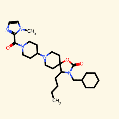 CCCCC1N(CC2CCCCC2)C(=O)OC12CCN(C1CCN(C(=O)c3nccn3C)CC1)CC2